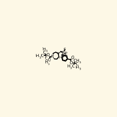 CC(C)(C)OC(=O)c1ccc([C@@H]2CCN(C(=O)OC(C)(C)C)CC[C@H]2C[B-](F)(F)F)cc1